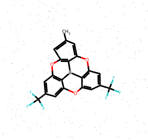 Cc1cc2c3c(c1)Oc1cc(C(F)(F)F)cc4c1B3c1c(cc(C(F)(F)F)cc1O4)O2